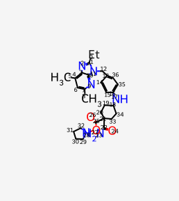 CCc1nc2c(C)cc(C)nc2n1Cc1ccc(NC2CCC(C(N)=O)(C(=O)ON3CCCC3)CC2)cc1